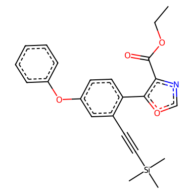 CCOC(=O)c1ncoc1-c1ccc(Oc2ccccc2)cc1C#C[Si](C)(C)C